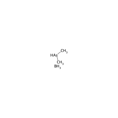 B.C[AsH]C